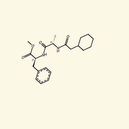 COC(=O)[C@H](Cc1ccccc1)NC(=O)[C@H](C)NC(=O)CC1CCCCC1